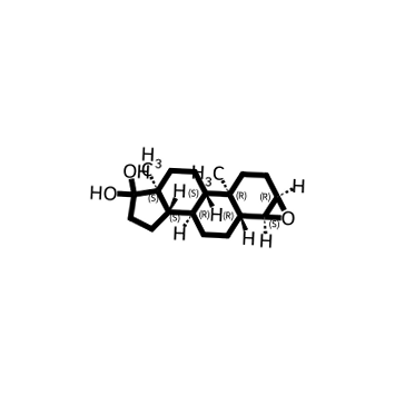 C[C@]12CC[C@H]3O[C@H]3[C@@H]1CC[C@@H]1[C@@H]2CC[C@@]2(C)[C@H]1CCC2(O)O